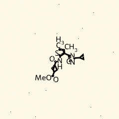 COC(=O)C12CC(C(=O)Nc3sc(C)c(C)c3-c3nc(C4CC4)no3)(C1)C2